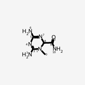 CN1C(N)=NC(N)=NC1C(N)=O